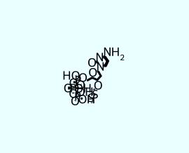 CSSCO[C@H]1CC(n2ccc(N)nc2=O)OC1COP(=O)(O)OP(=O)(O)OP(=O)(O)O